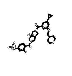 O=C(c1cc(OCC2CCOCC2)cc(C2CC2)c1)N1CC2CN(C(=O)c3ccc(N[SH](=O)=O)cc3F)C[C@H]2C1